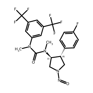 CN(C(=O)N(C)[C@@H]1CN(N=O)C[C@H]1c1ccc(F)cc1)c1cc(C(F)(F)F)cc(C(F)(F)F)c1